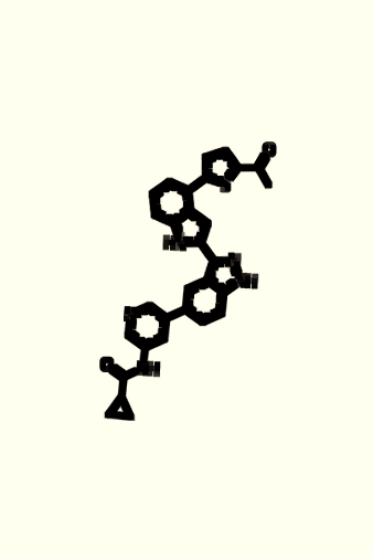 CC(=O)c1ccc(-c2cccc3[nH]c(-c4n[nH]c5ccc(-c6cncc(NC(=O)C7CC7)c6)cc45)cc23)s1